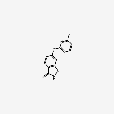 Cc1cccc(Oc2ccc3c(c2)CNC3=O)n1